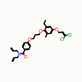 C=CCN(CC=C)C(=O)c1ccc(OCCCOc2c(C)cc(OCC=C(Cl)Cl)cc2CC)cc1